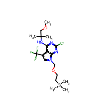 COCC(C)(C)Nc1nc(Cl)nc2c1c(C(F)(F)F)cn2COCC[Si](C)(C)C